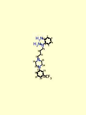 Nc1ccccc1N(N)CCCCN1CCN(c2cccc(C(F)(F)F)c2)CC1